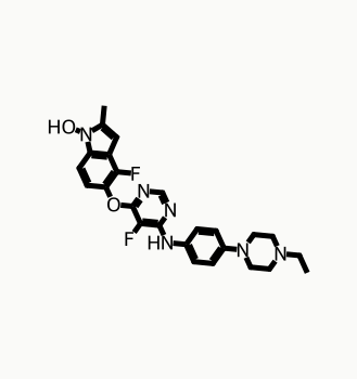 CCN1CCN(c2ccc(Nc3ncnc(Oc4ccc5c(cc(C)n5O)c4F)c3F)cc2)CC1